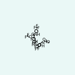 COC(C)(C)C(=O)NCc1ccc(C(F)(F)F)c(Nc2nc3cc(C(=O)N[C@H]4CC[C@H](C(F)(F)F)CC4)c(OCC(F)F)nc3n2C)c1